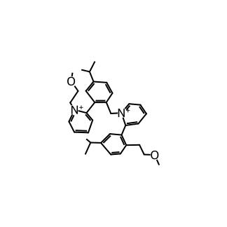 COCCc1ccc(C(C)C)cc1-c1cccc[n+]1Cc1ccc(C(C)C)cc1-c1cccc[n+]1CCOC